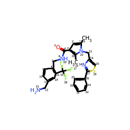 Cc1cc(C(=O)NCc2ccc(CN)cc2C(F)(F)F)c(C)n1Cc1csc(-c2ccccc2)n1